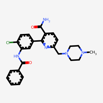 CN1CCN(Cc2ccc(C(N)=O)c(-c3ccc(Cl)c(NC(=O)c4ccccc4)c3)n2)CC1